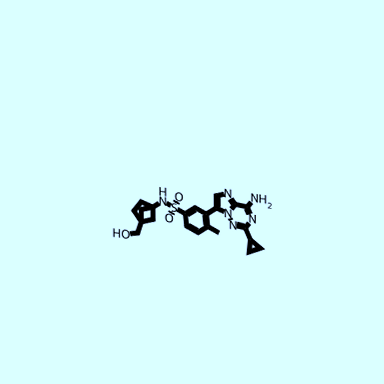 Cc1ccc(S(=O)(=O)NC23CCC(CO)(C2)C3)cc1-c1cnc2c(N)nc(C3CC3)nn12